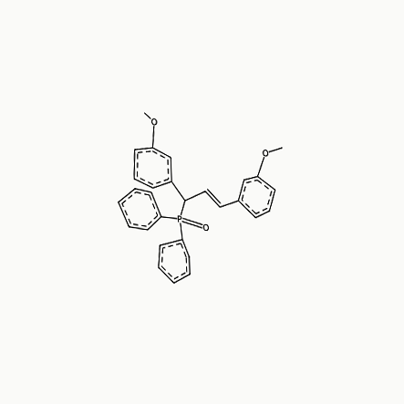 COc1cccc(C=CC(c2cccc(OC)c2)P(=O)(c2ccccc2)c2ccccc2)c1